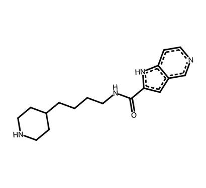 O=C(NCCCCC1CCNCC1)c1cc2cnccc2[nH]1